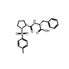 Cc1ccc(S(=O)(=O)N2CCC[C@H]2C(=O)N[C@@H](Cc2ccccc2)C(=O)O)cc1